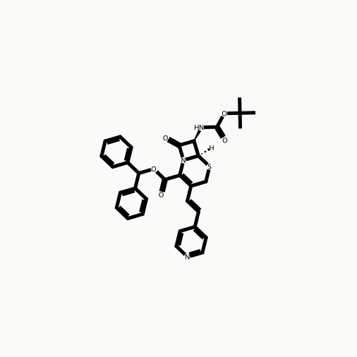 CC(C)(C)OC(=O)N[C@@H]1C(=O)N2C(C(=O)OC(c3ccccc3)c3ccccc3)=C(/C=C/c3ccncc3)CS[C@H]12